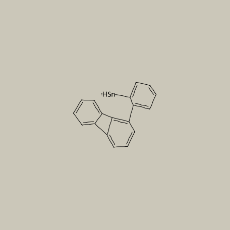 [SnH][c]1ccccc1-c1cccc2c1-c1ccccc1-2